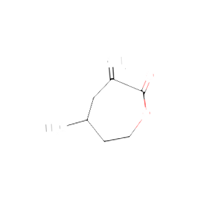 C=C1CC(C)CCOC1=O